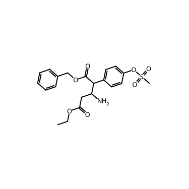 CCOC(=O)CC(N)C(C(=O)OCc1ccccc1)c1ccc(OS(C)(=O)=O)cc1